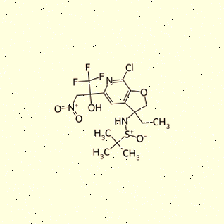 CCC1(N[S+]([O-])C(C)(C)C)COc2c1cc(C(O)(C[N+](=O)[O-])C(F)(F)F)nc2Cl